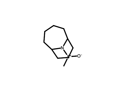 C[S+]([O-])N1C2CCCCC1CCC2